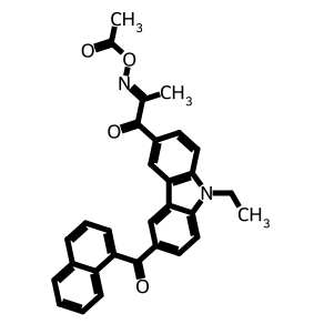 CCn1c2ccc(C(=O)/C(C)=N/OC(C)=O)cc2c2cc(C(=O)c3cccc4ccccc34)ccc21